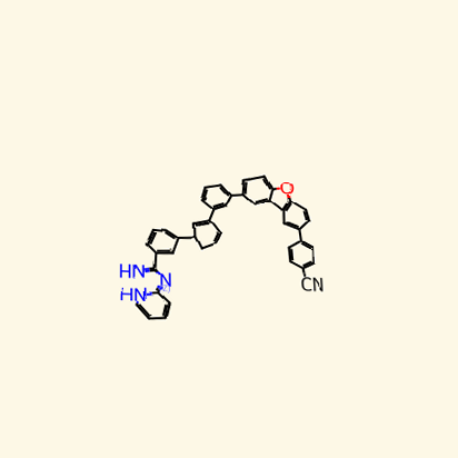 N#Cc1ccc(-c2ccc3oc4ccc(-c5cccc(C6=CC(c7cccc(C(=N)/N=c8/cccc[nH]8)c7)CC=C6)c5)cc4c3c2)cc1